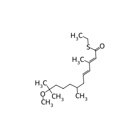 CCSC(=O)/C=C(C)/C=C/CC(C)CCCC(C)(C)OC